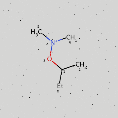 CCC(C)O[N+](C)C